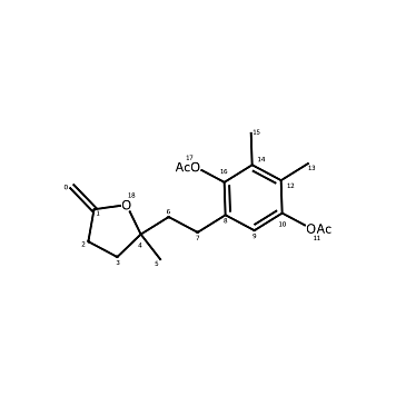 C=C1CCC(C)(CCc2cc(OC(C)=O)c(C)c(C)c2OC(C)=O)O1